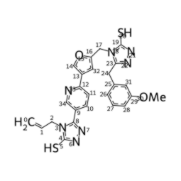 C=CCn1c(S)nnc1-c1ccc(-c2coc(Cn3c(S)nnc3Cc3cccc(OC)c3)c2)nc1